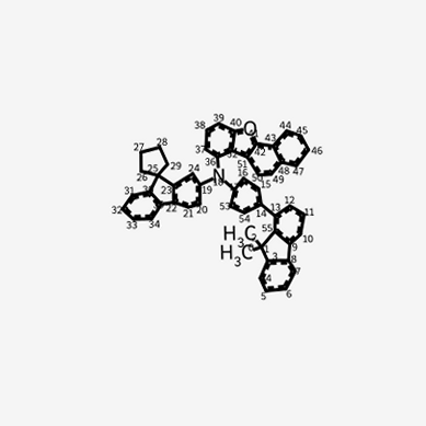 CC1(C)c2ccccc2-c2cccc(-c3ccc(N(c4ccc5c(c4)C4(CCCC4)c4ccccc4-5)c4cccc5oc6c7ccccc7ccc6c45)cc3)c21